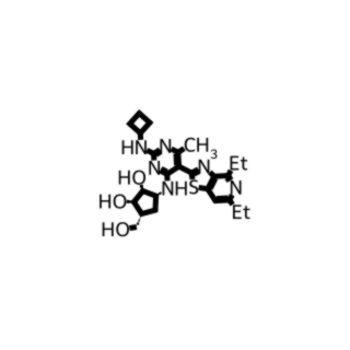 CCc1cc2sc(-c3c(C)nc(NC4CCC4)nc3N[C@@H]3C[C@H](CO)[C@@H](O)[C@H]3O)nc2c(CC)n1